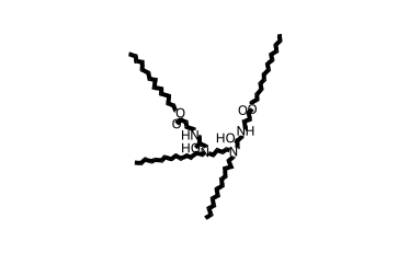 CCCCCCCCCCCCCCCOC(=O)CCCNCC(O)CN(CCCCCCCCCCCCCC)CCCCN(CCCCCCCCCCCCCC)CC(O)CNCCCC(=O)OCCCCCCCCCCCCCCC